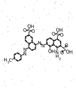 Cc1ccc(N=Nc2ccc(N=Nc3ccc4c(S(=O)(=O)O)cc(S(=O)(=O)O)c(N)c4c3O)c3cc(S(=O)(=O)O)ccc23)cc1